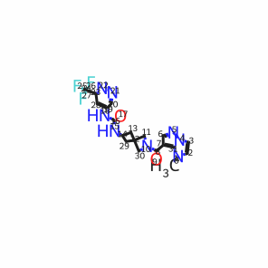 Cn1ccn2ncc(C(=O)N3CC4(CC(NC(=O)Nc5cnnc(C(F)(F)F)c5)C4)C3)c12